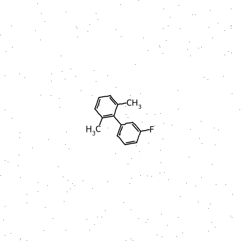 Cc1cccc(C)c1-c1cccc(F)c1